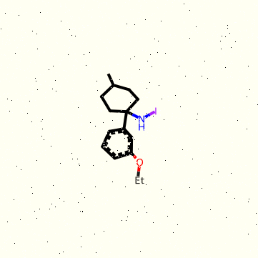 CCOc1cccc(C2(NI)CCC(C)CC2)c1